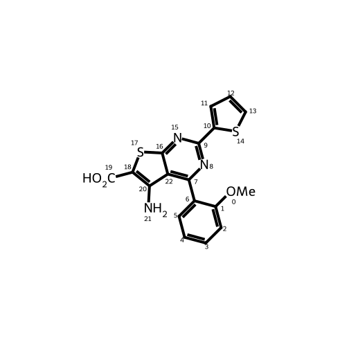 COc1ccccc1-c1nc(-c2cccs2)nc2sc(C(=O)O)c(N)c12